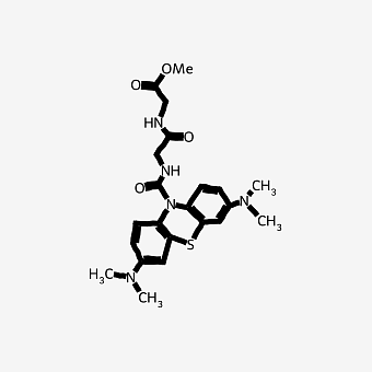 COC(=O)CNC(=O)CNC(=O)N1c2ccc(N(C)C)cc2Sc2cc(N(C)C)ccc21